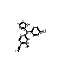 N#Cc1ccc(C(c2ccc(Cl)cc2)c2ncc[nH]2)cc1F